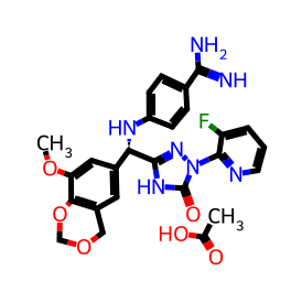 CC(=O)O.COc1cc([C@H](Nc2ccc(C(=N)N)cc2)c2nn(-c3ncccc3F)c(=O)[nH]2)cc2c1OCOC2